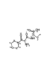 CC(C)[C@H](NC(=O)C(N)C(=O)N1CCOCC1)C(=O)O